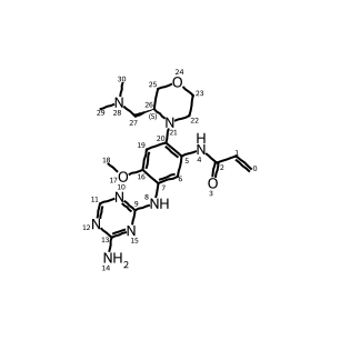 C=CC(=O)Nc1cc(Nc2ncnc(N)n2)c(OC)cc1N1CCOC[C@@H]1CN(C)C